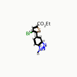 CCOC(=O)c1cc(Br)c(-c2ccc3c(c2)nnn3C)s1